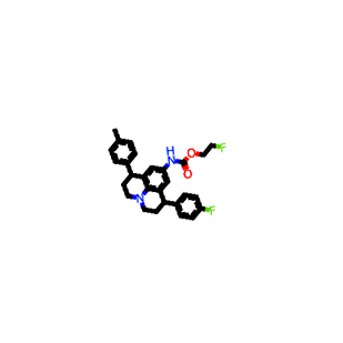 Cc1ccc(C2CCN3CCC(c4ccc(F)cc4)c4cc(NC(=O)OCCF)cc2c43)cc1